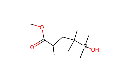 COC(=O)C(C)CC(C)(C)[Si](C)(C)O